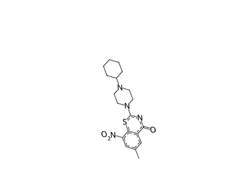 Cc1cc([N+](=O)[O-])c2sc(N3CCN(C4CCCCC4)CC3)nc(=O)c2c1